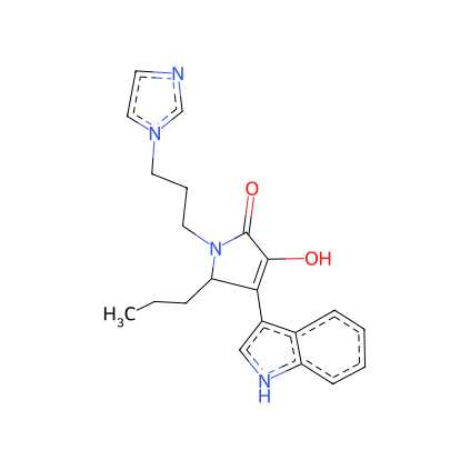 CCCC1C(c2c[nH]c3ccccc23)=C(O)C(=O)N1CCCn1ccnc1